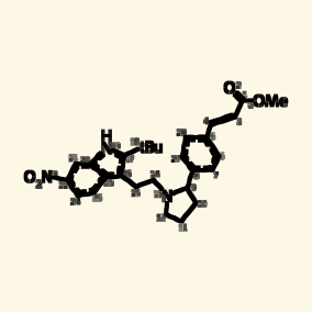 COC(=O)C=Cc1ccc(C2CCCN2CCc2c(C(C)(C)C)[nH]c3cc([N+](=O)[O-])ccc23)cc1